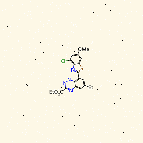 CCOC(=O)c1nnc2c(-c3nc4c(Cl)cc(OC)cc4s3)cc(CC)cc2n1